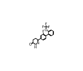 O=C1CCC(c2ccc(-c3ccccc3OC(F)(F)F)c(F)c2)=NN1